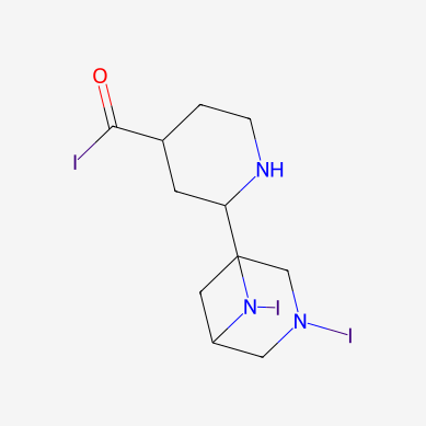 O=C(I)C1CCNC(C23CC(CN(I)C2)N3I)C1